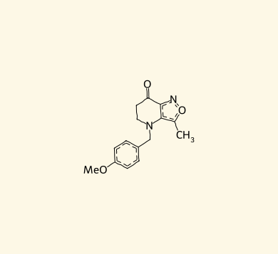 COc1ccc(CN2CCC(=O)c3noc(C)c32)cc1